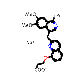 CCCc1ncc(Cc2ccc3cccc(OCCC(=O)[O-])c3n2)c2cc(OC)c(OC)cc12.[Na+]